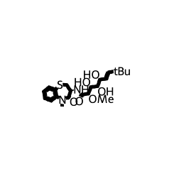 CO[C@@H](C(=O)N[C@H]1CSc2ccccc2N(C)C1=O)[C@H](O)[C@@H](O)[C@H](O)C=CC(C)(C)C